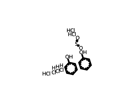 Cl.Cl.Cl.Cl.Cl.Cl.O=S=O.Oc1ccccc1.Oc1ccccc1